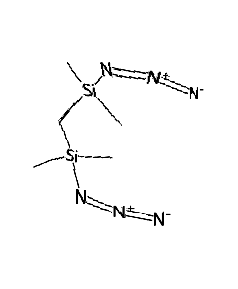 C[Si](C)(C[Si](C)(C)N=[N+]=[N-])N=[N+]=[N-]